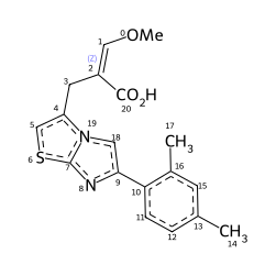 CO/C=C(/Cc1csc2nc(-c3ccc(C)cc3C)cn12)C(=O)O